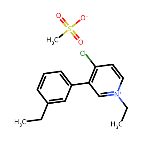 CCc1cccc(-c2c[n+](CC)ccc2Cl)c1.CS(=O)(=O)[O-]